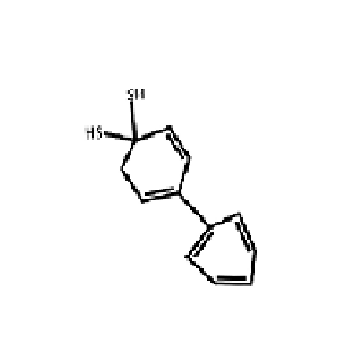 SC1(S)C=CC(c2ccccc2)=CC1